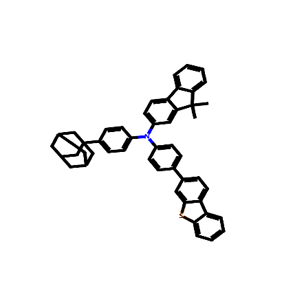 CC1(C)c2ccccc2-c2ccc(N(c3ccc(-c4ccc5c(c4)sc4ccccc45)cc3)c3ccc(C45CC6CC(CC(C6)C4)C5)cc3)cc21